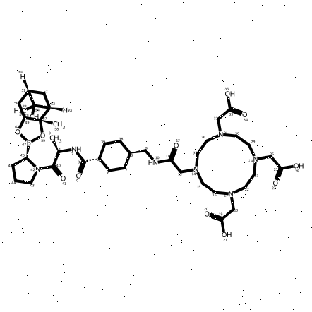 C[C@@H](NC(=O)[C@H]1CC[C@H](CNC(=O)CN2CCN(CC(=O)O)CCN(CC(=O)O)CCN(CC(=O)O)CC2)CC1)C(=O)N1CCC[C@H]1B1OC2C[C@@H]3C[C@@H](C3(C)C)[C@]2(C)O1